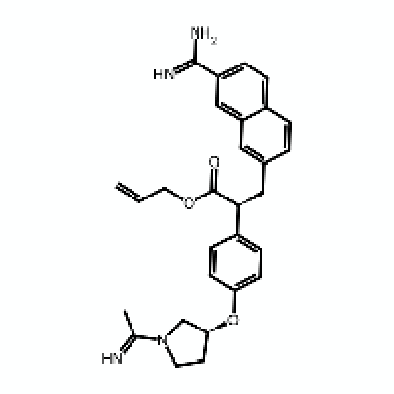 C=CCOC(=O)[C@@H](Cc1ccc2ccc(C(=N)N)cc2c1)c1ccc(O[C@H]2CCN(C(C)=N)C2)cc1